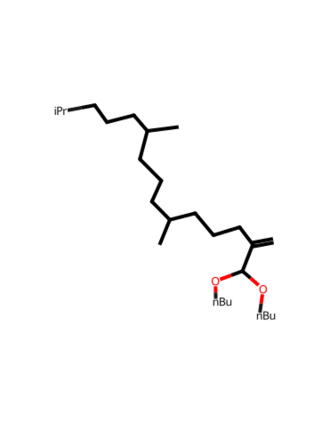 C=C(CCCC(C)CCCC(C)CCCC(C)C)C(OCCCC)OCCCC